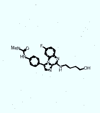 CNC(=O)Nc1ccc(-c2cnc3c(NCCCCO)nc4ccc(F)cc4n23)cc1